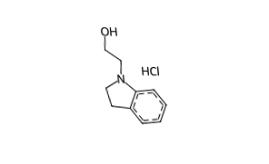 Cl.OCCN1CCc2ccccc21